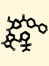 COc1cc(C(=O)N2CCC(N3CCOCC3)CC2)ccc1Nc1nc(Nc2ccccc2S(=O)(=O)C(C)C)c2c(Cl)c[nH]c2n1